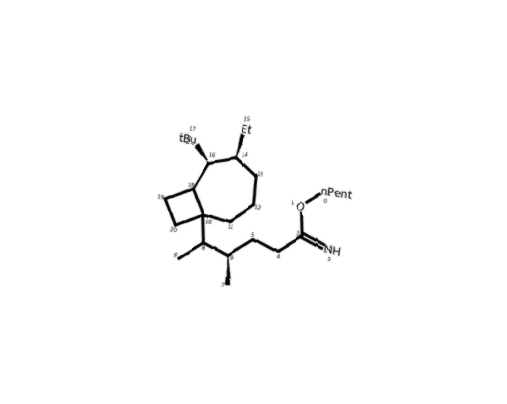 CCCCCOC(=N)CC[C@@H](C)C(C)C12CCC[C@H](CC)[C@H](C(C)(C)C)C1CC2